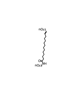 CCCCCCCCC=CCCCCCCCCCCCC(=O)NCCCCCCCC